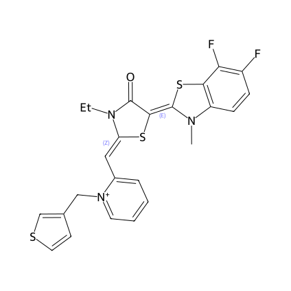 CCn1c(=O)/c(=C2\Sc3c(ccc(F)c3F)N2C)s/c1=C\c1cccc[n+]1Cc1ccsc1